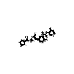 Cc1ccncc1NS(=O)(=O)c1cc(-c2sc(NC(=O)C3CCCC3)nc2C)ccc1C